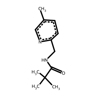 Cc1ccc(CNC(=O)C(C)(C)C)nc1